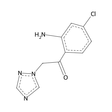 Nc1cc(Cl)ccc1C(=O)Cn1cncn1